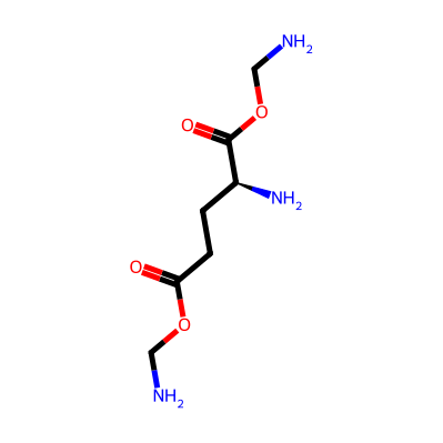 NCOC(=O)CC[C@H](N)C(=O)OCN